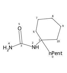 CCCCCC1(NC(N)=O)CCCCC1